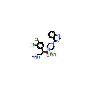 CNCCC(C(=O)N1CCN(c2ncnc3ccccc23)CC1)c1ccc(Cl)c(Cl)c1.Cl.Cl